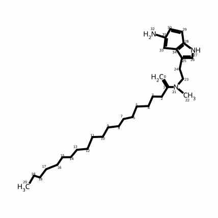 C=C(CCCCCCCCCCCCCCCCCCC)N(C)CCc1c[nH]c2ccc(N)cc12